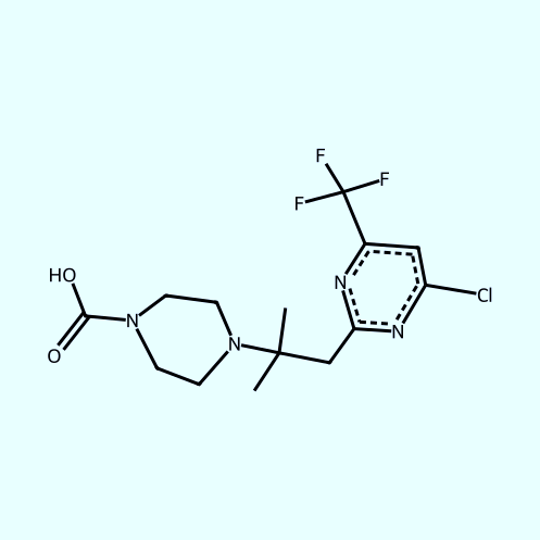 CC(C)(Cc1nc(Cl)cc(C(F)(F)F)n1)N1CCN(C(=O)O)CC1